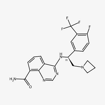 NC(=O)c1cccc2c(N[C@H](CN3CCC3)c3ccc(F)c(C(F)(F)F)c3)ncnc12